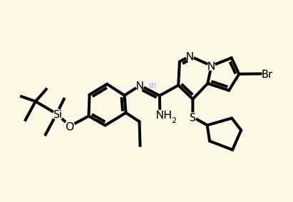 CCc1cc(O[Si](C)(C)C(C)(C)C)ccc1/N=C(\N)c1cnn2cc(Br)cc2c1SC1CCCC1